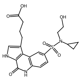 O=C(O)CCCc1c[nH]c2c(=O)[nH]c3ccc(S(=O)(=O)N(CCO)C4CC4)cc3c12